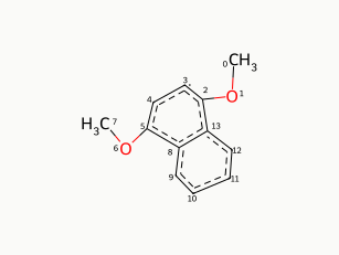 COc1[c]cc(OC)c2ccccc12